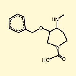 CNC1CCN(C(=O)O)CC1OCc1ccccc1